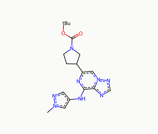 Cn1cc(Nc2nc(C3CCN(C(=O)OC(C)(C)C)C3)cn3ncnc23)cn1